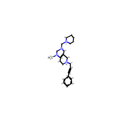 CN1CN(CN2CCCCC2)CC2=C1CCN(CC#Cc1ccccc1)C2